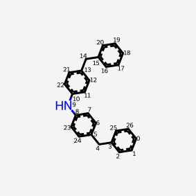 c1ccc(Cc2ccc(Nc3ccc(Cc4ccccc4)cc3)cc2)cc1